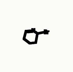 BrC1CCCC=N1